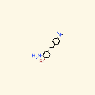 CN(C)c1ccc(/C=C/[C@H]2C=C(N)C(Br)=CC2)cc1